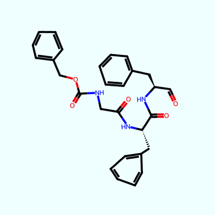 O=C[C@H](Cc1ccccc1)NC(=O)[C@H](Cc1ccccc1)NC(=O)CNC(=O)OCc1ccccc1